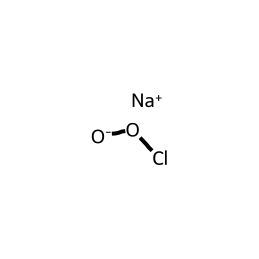 [Na+].[O-]OCl